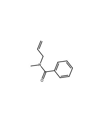 C=CCN(C)C(=O)c1ccccc1